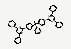 CC(c1ccccc1)(c1ccc(-c2nc(-c3ccccc3)cc(-c3ccccc3)n2)cc1)c1ccc(-c2nc(-c3ccccc3)cc(-c3ccccc3)n2)cc1